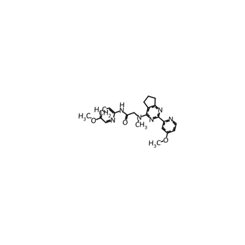 C=C(/C=N\C(=C/C)NC(=O)CN(C)c1nc(-c2cc(OC)ccn2)nc2c1CCC2)OC